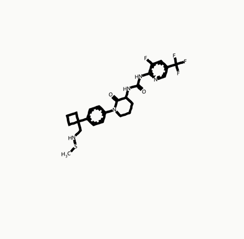 CSNCC1(c2ccc(N3CCCC(NC(=O)Nc4ncc(C(F)(F)F)cc4F)C3=O)cc2)CCC1